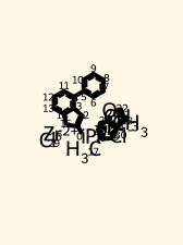 CC(C)C1=Cc2c(-c3ccccc3)cccc2[CH]1[Zr+2].CC1=C2c3occc3C1[Si]2(C)C.[Cl-].[Cl-]